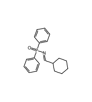 O=P(N=CC1CCCCC1)(c1ccccc1)c1ccccc1